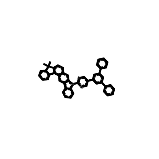 CC1(C)c2ccccc2-c2c1ccc1cc3c(cc21)c1ccccc1n3-c1ncc(-c2cc(-c3ccccc3)cc(-c3ccccc3)c2)cn1